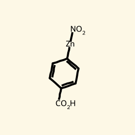 O=C(O)c1cc[c]([Zn][N+](=O)[O-])cc1